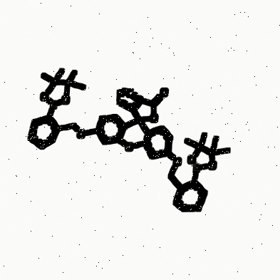 CC1(C)OB(c2ccccc2COc2ccc3c(c2)Oc2cc(OCc4ccccc4B4OC(C)(C)C(C)(C)O4)ccc2C32OC(=O)c3ccccc32)OC1(C)C